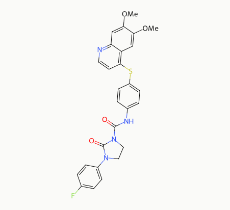 COc1cc2nccc(Sc3ccc(NC(=O)N4CCN(c5ccc(F)cc5)C4=O)cc3)c2cc1OC